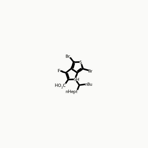 CCCCCCCC(CCCC)[SH]1C(C(=O)O)=C(F)c2c(Br)sc(Br)c21